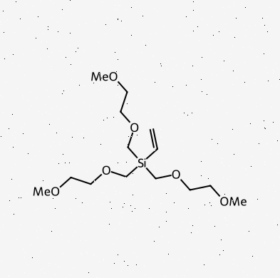 C=C[Si](COCCOC)(COCCOC)COCCOC